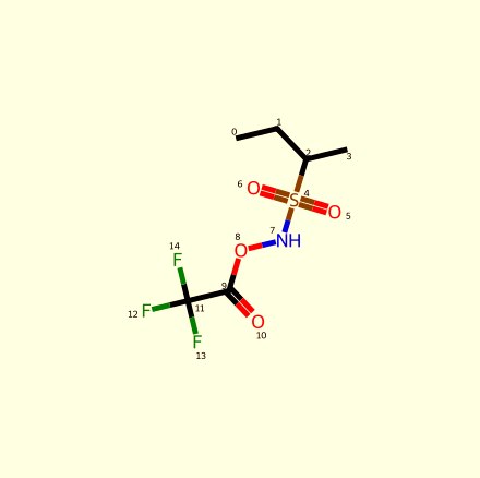 CCC(C)S(=O)(=O)NOC(=O)C(F)(F)F